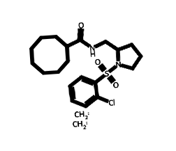 O=C(NCC1CCCN1S(=O)(=O)c1ccccc1Cl)[C]1CCCCCCC1.[CH2].[CH2]